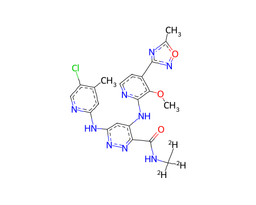 [2H]C([2H])([2H])NC(=O)c1nnc(Nc2cc(C)c(Cl)cn2)cc1Nc1nccc(-c2noc(C)n2)c1OC